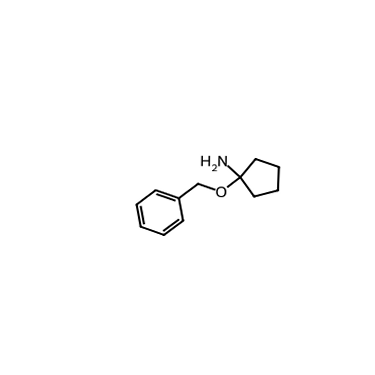 NC1(OCc2ccccc2)CCCC1